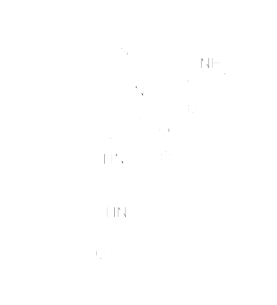 CC(C)C[C@@H](NC(=O)C1NC(=O)CCC1C)C(=O)N1CSCC1C(N)=O